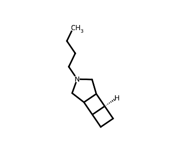 CCCCN1CC2C3CC[C@@H]3C2C1